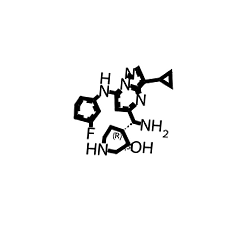 NC(c1cc(Nc2cccc(F)c2)n2ncc(C3CC3)c2n1)[C@H]1CCNC[C@H]1O